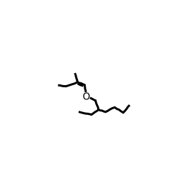 CCCCC(CC)COC=C(C)CC